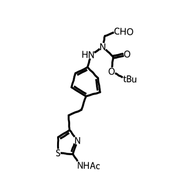 CC(=O)Nc1nc(CCc2ccc(NN(CC=O)C(=O)OC(C)(C)C)cc2)cs1